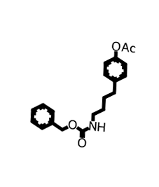 CC(=O)Oc1ccc(CCCCNC(=O)OCc2ccccc2)cc1